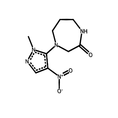 Cn1ncc([N+](=O)[O-])c1N1CCCNC(=O)C1